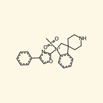 CS(=O)(=O)[N+]1(c2nc(-c3ccccc3)co2)CC2(CCNCC2)c2ccccc21